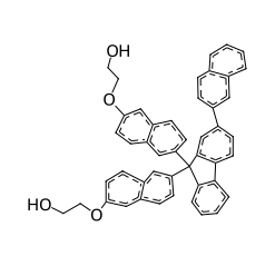 OCCOc1ccc2cc(C3(c4ccc5cc(OCCO)ccc5c4)c4ccccc4-c4ccc(-c5ccc6ccccc6c5)cc43)ccc2c1